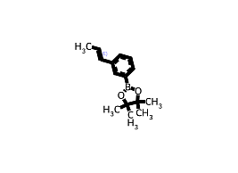 C/C=C/c1cccc(B2OC(C)(C)C(C)(C)O2)c1